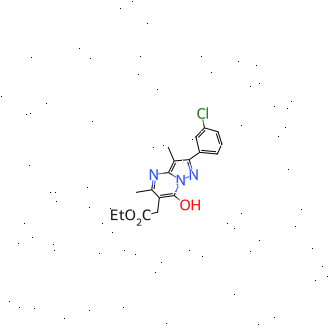 CCOC(=O)Cc1c(C)nc2c(C)c(-c3cccc(Cl)c3)nn2c1O